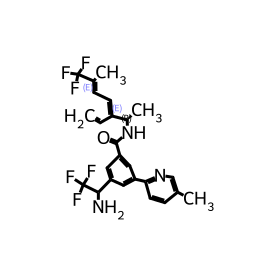 C=C/C(=C\C=C(/C)C(F)(F)F)[C@@H](C)NC(=O)c1cc(-c2ccc(C)cn2)cc(C(N)C(F)(F)F)c1